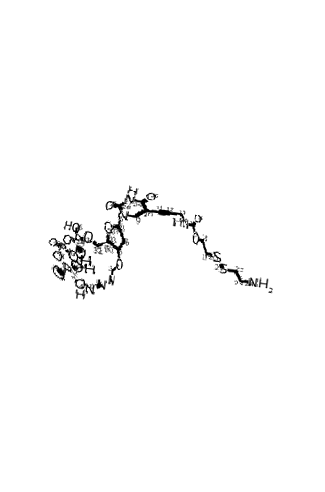 [N-]=[N+]=NCOC1C[C@H](n2cc(C#CCNC(=O)OCCSSCCN)c(=O)[nH]c2=O)O[C@@H]1COP(=O)(O)OP(=O)(O)OP(=O)(O)O